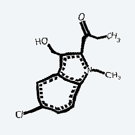 CC(=O)c1c(O)c2cc(Cl)ccc2n1C